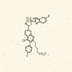 C[C@@]1(c2nc3ccc(F)cc3[nH]2)CC(c2ccc3c(=O)n(-c4ccc(F)cc4)c(CCCCC(=O)O)nc3c2)=NO1